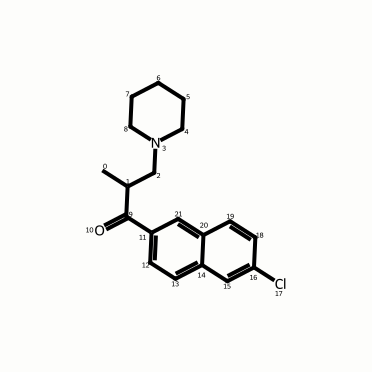 CC(CN1CCCCC1)C(=O)c1ccc2cc(Cl)ccc2c1